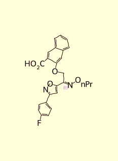 CCCO/N=C(\COc1cc2ccccc2cc1C(=O)O)c1cc(-c2ccc(F)cc2)no1